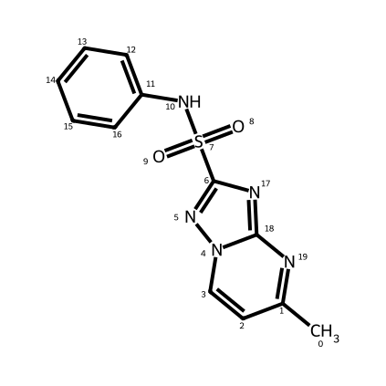 Cc1ccn2nc(S(=O)(=O)Nc3ccccc3)nc2n1